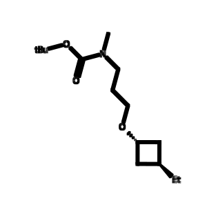 CC[C@H]1C[C@H](OCCCN(C)C(=O)OC(C)(C)C)C1